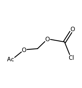 CC(=O)OCOC(=O)Cl